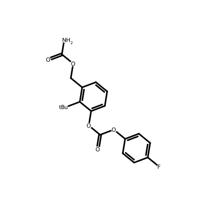 CC(C)(C)c1c(COC(N)=O)cccc1OC(=O)Oc1ccc(F)cc1